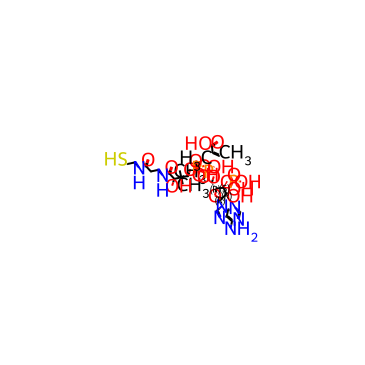 CC(C)(COP(=O)(O)OP(=O)(O)OC[C@H]1O[C@@H](n2cnc3c(N)ncnc32)[C@H](O)[C@@H]1OP(=O)(O)O)C(O)C(=O)NCCC(=O)NCCS.CC=C(C)C(=O)O